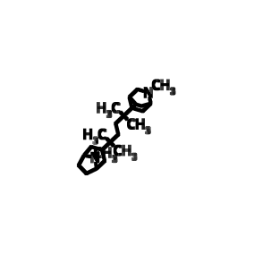 CN1CC2CCC1CC2C(C)(C)CCC(C)(C)C1CC2CCC(C1)N2C